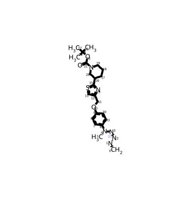 C=N/N=N\N(C)c1ccc(OCc2csc(C3CCCN(C(=O)OC(C)(C)C)C3)n2)cc1